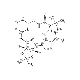 CC(C)(C)OC(=O)NCC1CN(C[C@H]2O[C@@H](n3ccc4c(Cl)ncnc43)[C@@H]3OC(C)(C)O[C@@H]32)CCO1